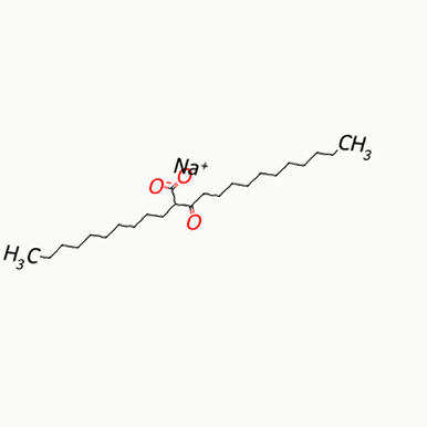 CCCCCCCCCCCC(=O)C(CCCCCCCCCC)C(=O)[O-].[Na+]